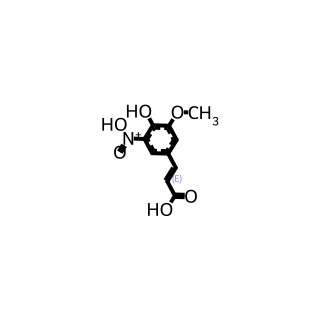 COc1cc(/C=C/C(=O)O)cc([N+](=O)O)c1O